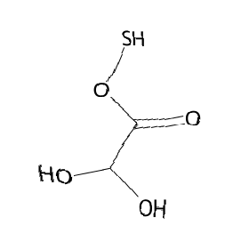 O=C(OS)C(O)O